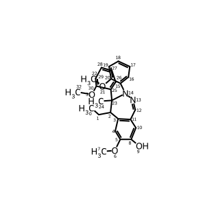 CCC1c2cc(OC)c(O)cc2C=NN(c2ccccc2OC)C1(C)c1ccccc1OC